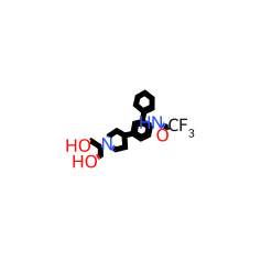 O=C(Nc1ccc(C2CCN(C(CO)CO)CC2)cc1C1=CCCCC1)C(F)(F)F